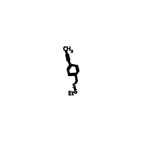 CC#Cc1ccc(CSSCC)cc1